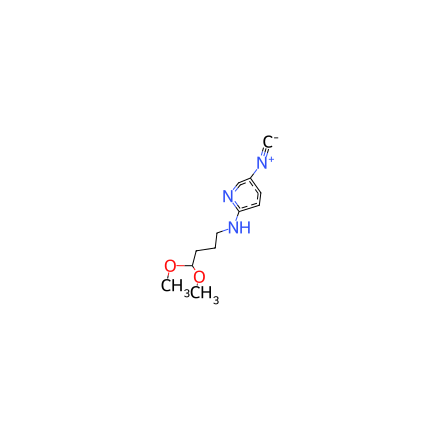 [C-]#[N+]c1ccc(NCCCC(OC)OC)nc1